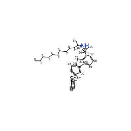 CCCCCCCCCCC(C)N[Si](C)(C)c1cccc2c1Cc1ccccc1-2.[H-].[H-].[H-].[Sc+3]